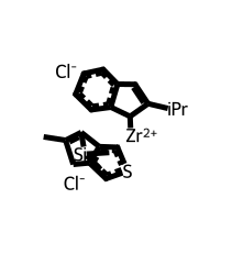 CC(C)C1=Cc2ccccc2[CH]1[Zr+2].CC1=C2c3cscc3C1[Si]2(C)C.[Cl-].[Cl-]